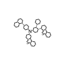 c1ccc(-c2cc(N(c3ccc(-c4cccc5ccccc45)cc3)c3ccc4sc5ccccc5c4c3)ccc2-c2cccc3c2sc2ccccc23)cc1